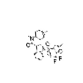 Cc1cc(S(=O)(=O)N2CC(C(=O)N(C)C3CCN(C)CC3)c3ccccc32)c(C(F)(F)F)o1